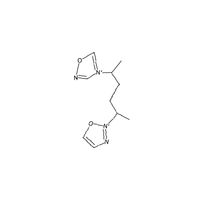 CC(CCC(C)[n+]1ncco1)[n+]1cnoc1